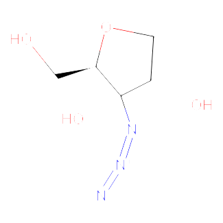 [N-]=[N+]=N[C@]1(O)[C@@H](O)[CH]O[C@@H]1CO